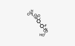 CC(=O)NCC1CN(c2ccc(-c3ccc(C4=NOC(CO)C4)c(F)c3)cc2C)C(=O)O1